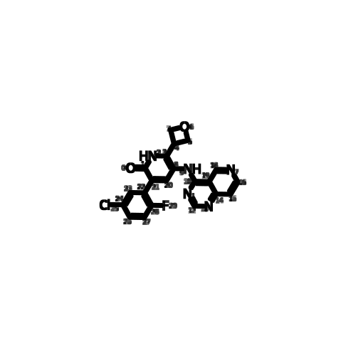 O=c1[nH]c(C2COC2)c(Nc2ncnc3ccncc23)cc1-c1cc(Cl)ccc1F